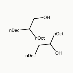 CCCCCCCCCCC(CO)CCCCCCCC.CCCCCCCCCCCC(O)CCCCCCCC